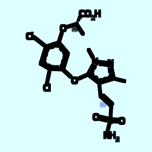 Cc1nn(C)c(Oc2cc(O[C@@H](C)C(=O)O)c(Cl)cc2Cl)c1/C=C/S(N)(=O)=O